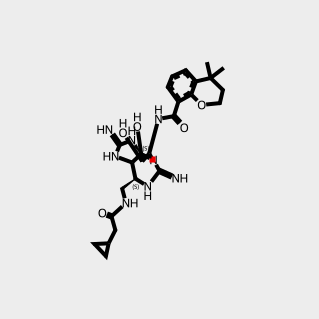 CC1(C)CCOc2c(C(=O)NC3CN4C(=N)N[C@@H](CNC(=O)CC5CC5)C5NC(=N)N[C@@]54C3(O)O)cccc21